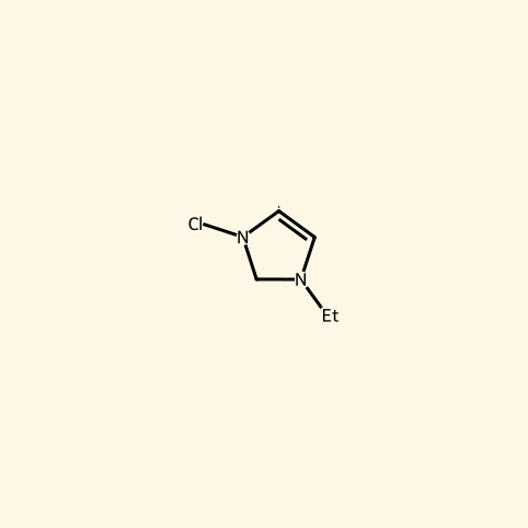 CCN1C=[C]N(Cl)C1